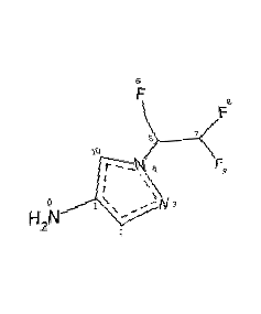 Nc1cnn(C(F)C(F)F)c1